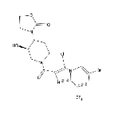 O=C(c1nc2c(C(F)(F)F)cc(Br)cn2c1Cl)N1CC[C@@H](N2CCOC2=O)[C@H](O)C1